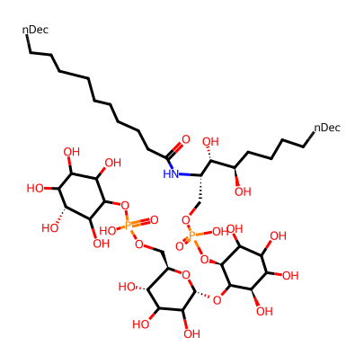 CCCCCCCCCCCCCCCCCCCC(=O)N[C@@H](COP(=O)(O)O[C@H]1C(O)C(O)C(O)[C@@H](O)C1O[C@H]1O[C@H](COP(=O)(O)OC2C(O)C(O)C(O)[C@@H](O)C2O)[C@@H](O)C(O)C1O)[C@H](O)[C@H](O)CCCCCCCCCCCCCC